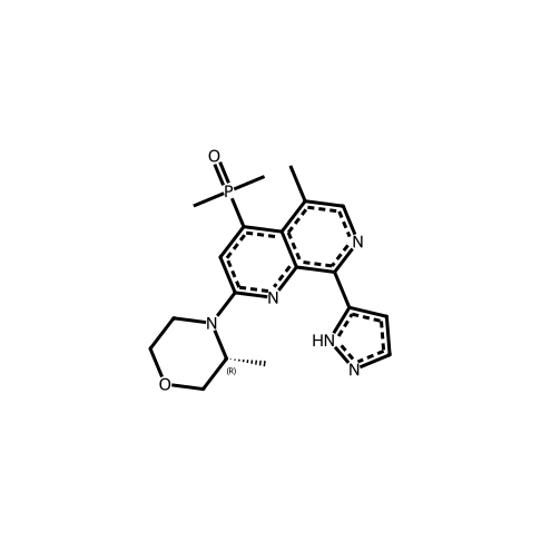 Cc1cnc(-c2ccn[nH]2)c2nc(N3CCOC[C@H]3C)cc(P(C)(C)=O)c12